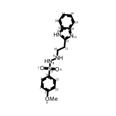 COc1ccc(S(=O)(=O)NNCCc2nc3ccccc3[nH]2)cc1